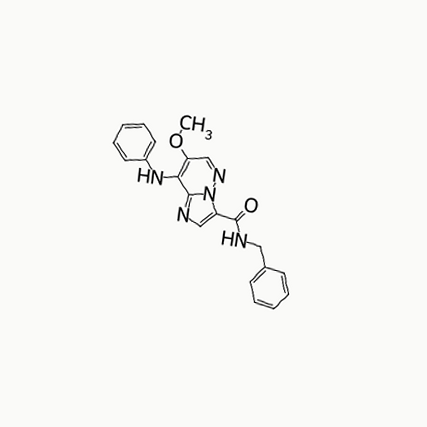 COc1cnn2c(C(=O)NCc3ccccc3)cnc2c1Nc1ccccc1